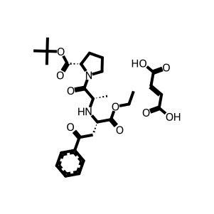 CCOC(=O)[C@H](CC(=O)c1ccccc1)N[C@@H](C)C(=O)N1CCC[C@H]1C(=O)OC(C)(C)C.O=C(O)C=CC(=O)O